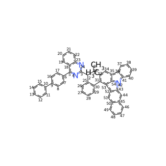 CCC(c1nc(-c2ccc(-c3ccccc3)cc2)c2ccccc2n1)c1ccccc1-c1c(C)cc2c3ccccc3n3c4cc5ccccc5cc4c1c23